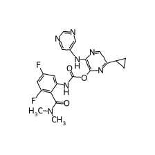 CN(C)C(=O)c1c(F)cc(F)cc1NC(=O)Oc1nc(C2CC2)cnc1Nc1cncnc1